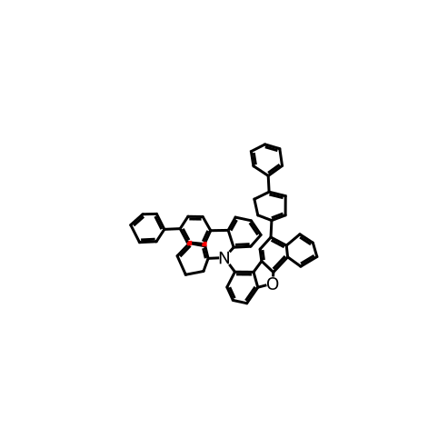 C1=CCCC(N(c2ccccc2-c2ccc(-c3ccccc3)cc2)c2cccc3oc4c5ccccc5c(C5=CC=C(c6ccccc6)CC5)cc4c23)=C1